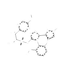 COc1cnc([C@@H](O)[C@H](C)S(=O)(=O)Nc2nnc(-c3ccn(C)n3)n2-c2c(OC)cccc2OC)cn1